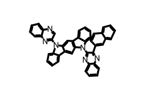 c1ccc2cc(-c3nc4ccccc4nc3-n3c4ccccc4c4cc5c(cc43)c3ccccc3n5-c3cnc4ccccc4n3)ccc2c1